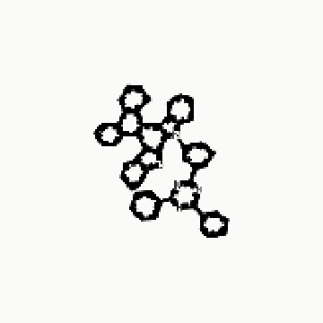 c1ccc(-c2nc(-c3ccccc3)nc(-c3cccc(-n4c5ccccc5c5c6c7ccccc7c7ccccc7c6c6c7ccccc7sc6c54)c3)n2)cc1